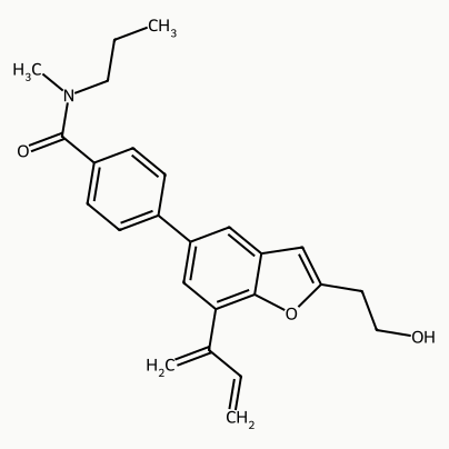 C=CC(=C)c1cc(-c2ccc(C(=O)N(C)CCC)cc2)cc2cc(CCO)oc12